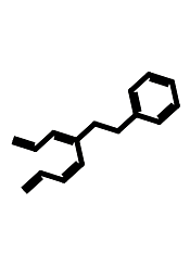 C=C/C=C\C(=C/C=C)CCc1ccccc1